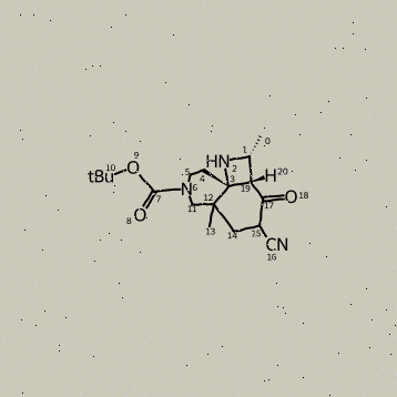 C[C@H]1N[C@@]23CCN(C(=O)OC(C)(C)C)CC2(C)CC(C#N)C(=O)[C@@H]13